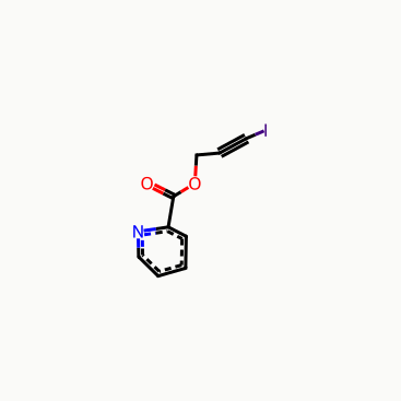 O=C(OCC#CI)c1ccccn1